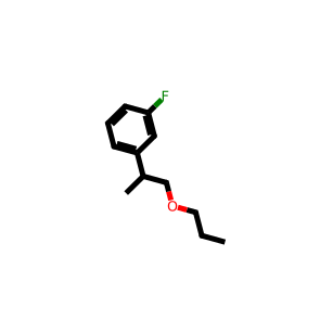 CCCOCC(C)c1cccc(F)c1